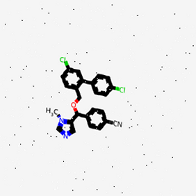 Cn1cncc1C(OCc1ccc(Cl)cc1-c1ccc(Cl)cc1)c1ccc(C#N)cc1